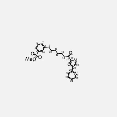 COS(=O)(=O)c1cccc(CCCCCCC(=O)c2ncc(-c3ccccn3)o2)c1